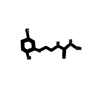 CCc1ccc(Cl)cc1OCCNC(=O)NC(C)(C)C